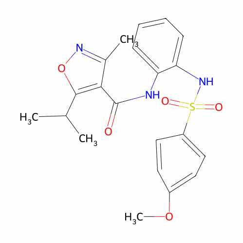 COc1ccc(S(=O)(=O)Nc2ccccc2NC(=O)c2c(C)noc2C(C)C)cc1